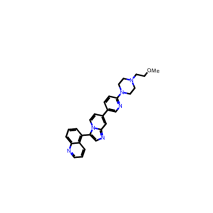 COCCN1CCN(c2ccc(-c3ccn4c(-c5cccc6ncccc56)cnc4c3)cn2)CC1